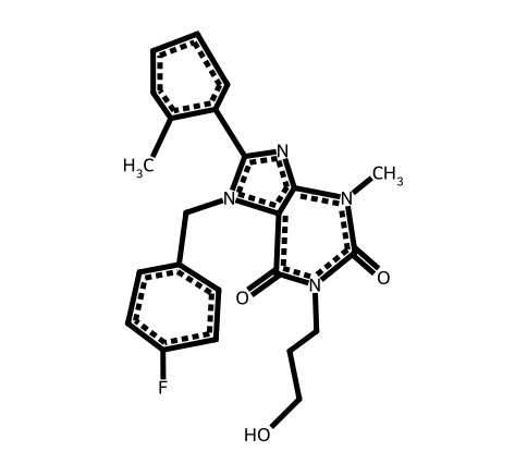 Cc1ccccc1-c1nc2c(c(=O)n(CCCO)c(=O)n2C)n1Cc1ccc(F)cc1